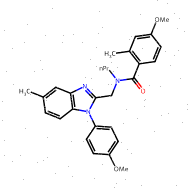 CCCN(Cc1nc2cc(C)ccc2n1-c1ccc(OC)cc1)C(=O)c1ccc(OC)cc1C